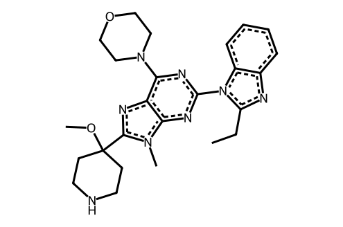 CCc1nc2ccccc2n1-c1nc(N2CCOCC2)c2nc(C3(OC)CCNCC3)n(C)c2n1